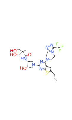 CCCc1cc2c(N3CCn4c(nnc4C(F)(F)F)C3)nc(N3CC(O)C(NC(=O)C(C)(CO)CO)C3)nc2s1